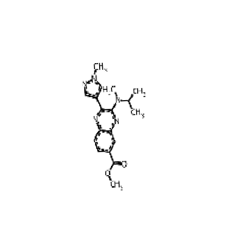 COC(=O)c1ccc2nc(-c3cnn(C)c3)c(N(C)C(C)C)nc2c1